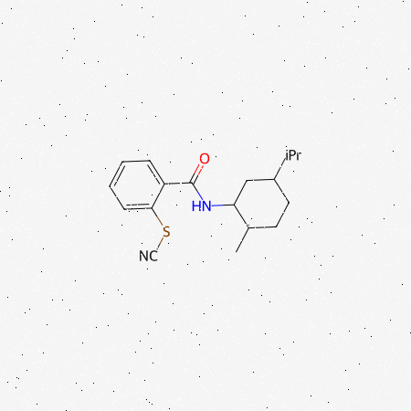 CC(C)C1CCC(C)C(NC(=O)c2ccccc2SC#N)C1